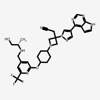 C[C@@H](CO)NCc1cc(OC2CCC(N3CC(CC#N)(n4cc(-c5ncnc6[nH]ccc56)cn4)C3)CC2)nc(C(F)(F)F)c1